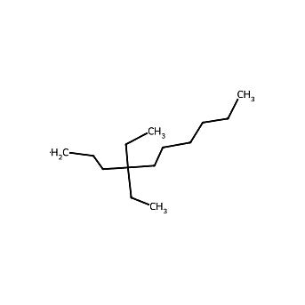 [CH2]CCC(CC)(CC)CCCCCC